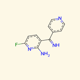 N=C(c1ccncc1)c1ccc(F)nc1N